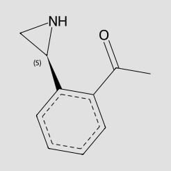 CC(=O)c1ccccc1[C@H]1CN1